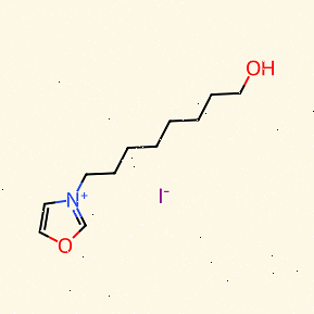 OCCCCCCCC[n+]1ccoc1.[I-]